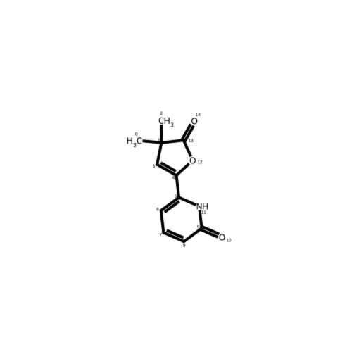 CC1(C)C=C(c2cccc(=O)[nH]2)OC1=O